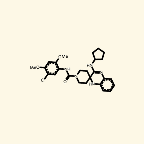 COc1cc(OC)c(NC(=O)N2CCC3(CC2)Nc2ccccc2N=C3NC2CCCC2)cc1Cl